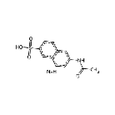 CC(=O)Nc1ccc2cc(S(=O)(=O)O)ccc2c1.[NaH]